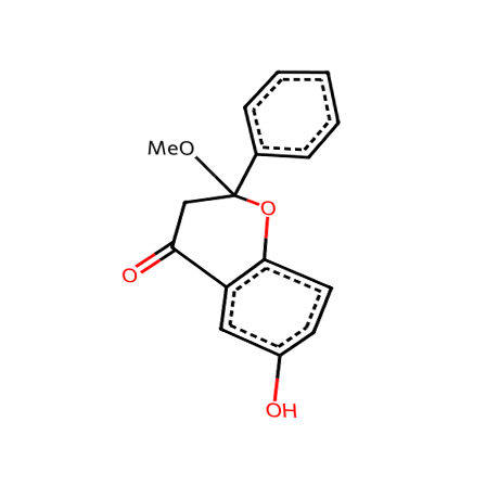 COC1(c2ccccc2)CC(=O)c2cc(O)ccc2O1